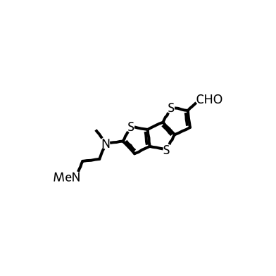 CNCCN(C)c1cc2sc3cc(C=O)sc3c2s1